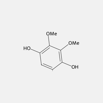 COc1c(O)[c]cc(O)c1OC